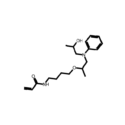 C=CC(=O)NCCCCOC(C)CN(CC(C)O)c1ccccc1